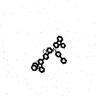 C[C@H]1CC2CCC[C@H](C2)[C@@]12c1ccccc1-c1cc(-c3ccc4c(c3)oc3ccc(N(c5ccc(-c6ccccc6)cc5)c5ccc6c(c5)C5(CCCC5)c5ccccc5-6)cc34)ccc12